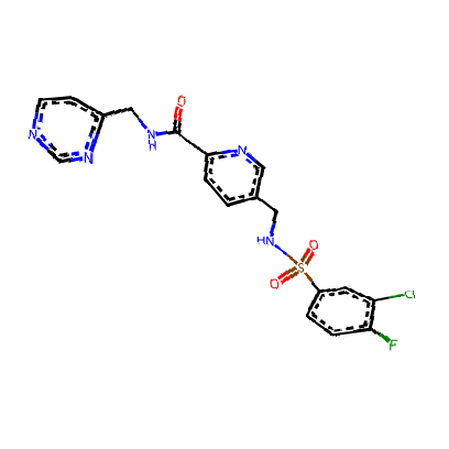 O=C(NCc1ccncn1)c1ccc(CNS(=O)(=O)c2ccc(F)c(Cl)c2)cn1